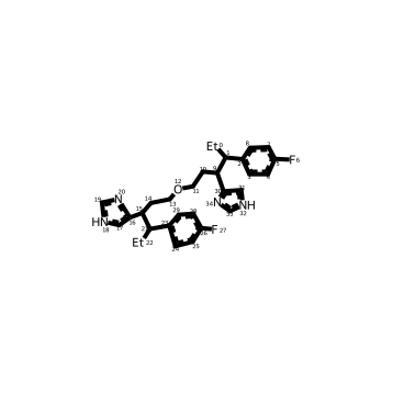 CCC(c1ccc(F)cc1)C(CCOCCC(c1c[nH]cn1)C(CC)c1ccc(F)cc1)c1c[nH]cn1